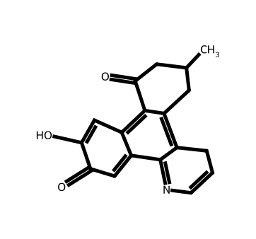 CC1CC(=O)c2c(c3c(c4c2C=C(O)C(=O)C=4)=NC=CC3)C1